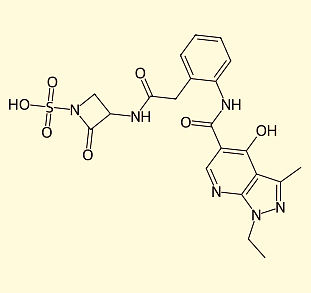 CCn1nc(C)c2c(O)c(C(=O)Nc3ccccc3CC(=O)NC3CN(S(=O)(=O)O)C3=O)cnc21